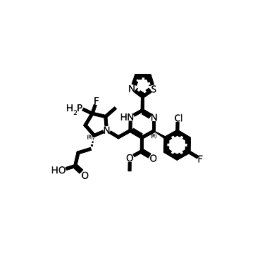 COC(=O)C1=C(CN2C(C)C(F)(P)C[C@H]2CCC(=O)O)NC(c2nccs2)=N[C@H]1c1ccc(F)cc1Cl